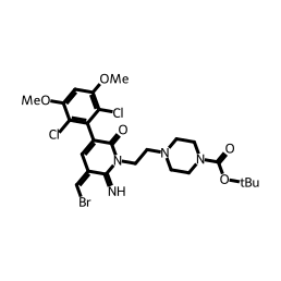 COc1cc(OC)c(Cl)c(C2=C/C(=C/Br)C(=N)N(CCN3CCN(C(=O)OC(C)(C)C)CC3)C2=O)c1Cl